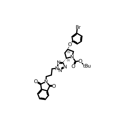 CC(C)(C)OC(=O)N1C[C@@H](Oc2cccc(Br)c2)C[C@H]1c1nnn(CCCN2C(=O)c3ccccc3C2=O)n1